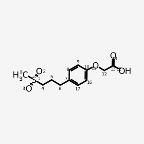 CS(=O)(=O)CCCc1ccc(OCC(=O)O)cc1